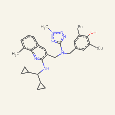 Cc1cccc2cc(CN(Cc3cc(C(C)(C)C)c(O)c(C(C)(C)C)c3)c3nnn(C)n3)c(NC(C3CC3)C3CC3)nc12